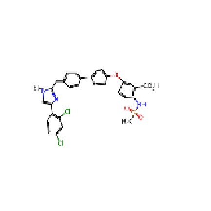 CCn1cc(-c2ccc(Cl)cc2Cl)nc1Cc1ccc(-c2ccc(Oc3ccc(NS(C)(=O)=O)c(C(=O)O)c3)cc2)cc1